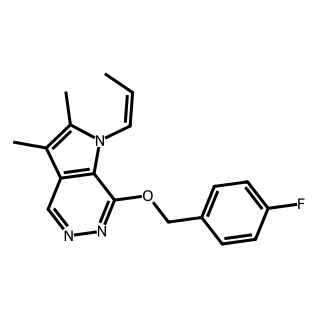 C/C=C\n1c(C)c(C)c2cnnc(OCc3ccc(F)cc3)c21